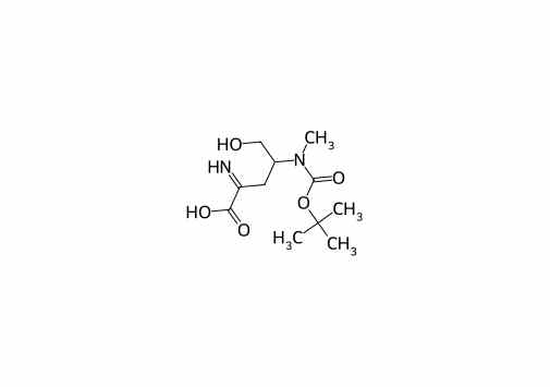 CN(C(=O)OC(C)(C)C)C(CO)CC(=N)C(=O)O